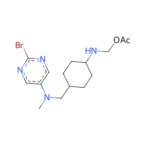 CC(=O)OCNC1CCC(CN(C)c2cnc(Br)nc2)CC1